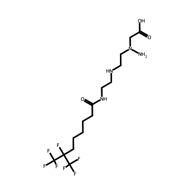 NN(CCNCCNC(=O)CCCCCC(F)(C(F)(F)F)C(F)(F)F)CC(=O)O